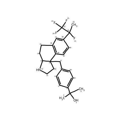 CC(C)(O)c1ccc(CC23CCNC2CCc2cc(C(C)(F)C(F)(F)F)ccc23)cc1